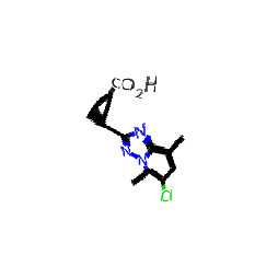 Cc1cc(Cl)c(C)n2nc(C3CC3C(=O)O)nc12